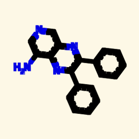 Nc1cncc2nc(-c3ccccc3)c(-c3ccccc3)nc12